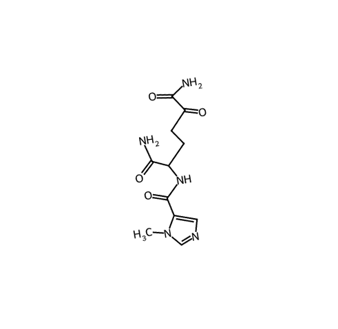 Cn1cncc1C(=O)NC(CCC(=O)C(N)=O)C(N)=O